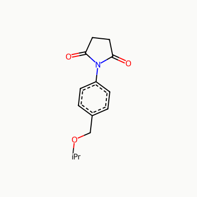 CC(C)OCc1ccc(N2C(=O)CCC2=O)cc1